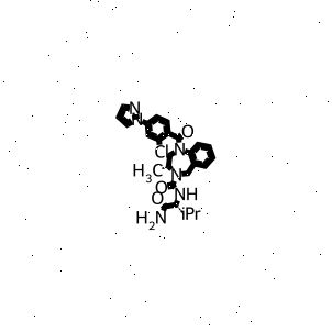 CC(C)[C@@H](NC(=O)N1Cc2ccccc2N(C(=O)c2ccc(-n3cccn3)cc2Cl)C[C@H]1C)C(N)=O